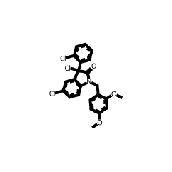 COc1ccc(CN2C(=O)C(Cl)(c3ccccc3Cl)c3cc(Cl)ccc32)c(OC)c1